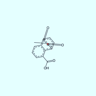 O=C(O)c1cccc2c3ccc(c(=O)oc3=O)c12